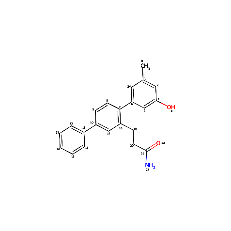 Cc1cc(O)cc(-c2ccc(-c3ccccc3)cc2CCC(N)=O)c1